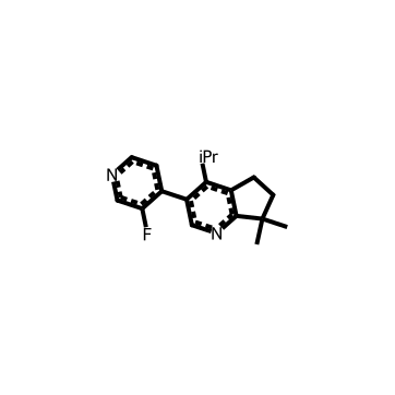 CC(C)c1c(-c2ccncc2F)cnc2c1CCC2(C)C